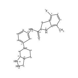 Cc1ccc(F)c2c1NC(C(=O)Nc1cccc(N3CCN4CNNC4C3)c1)C2